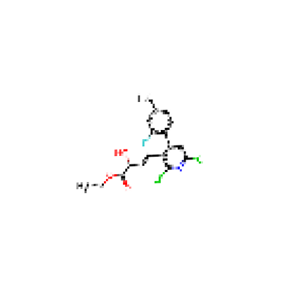 CCOC(=O)C(O)/C=C/c1c(-c2ccc(C)cc2F)cc(Cl)nc1Cl